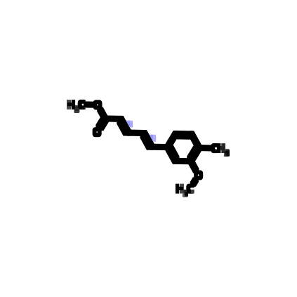 COC(=O)/C=C/C=C/c1ccc(C)c(OC)c1